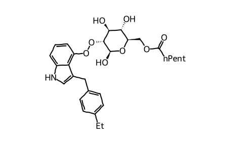 CCCCCC(=O)OC[C@H]1O[C@@H](O)[C@H](OOc2cccc3[nH]cc(Cc4ccc(CC)cc4)c23)[C@@H](O)[C@@H]1O